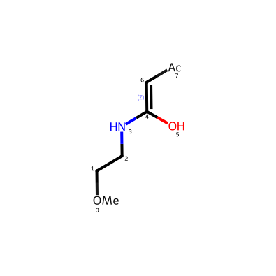 COCCN/C(O)=C/C(C)=O